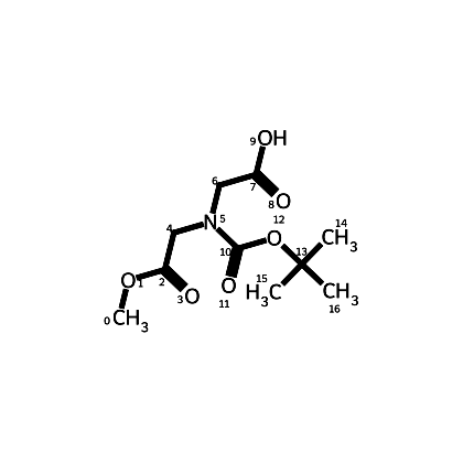 COC(=O)CN(CC(=O)O)C(=O)OC(C)(C)C